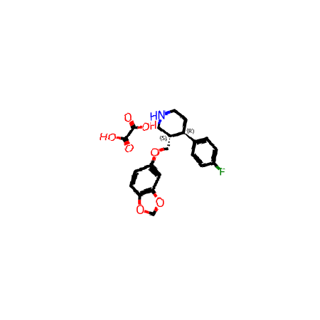 Fc1ccc([C@@H]2CCNC[C@H]2COc2ccc3c(c2)OCO3)cc1.O=C(O)C(=O)O